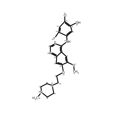 COc1cc2c(Nc3cc(O)c(Cl)cc3F)ncnc2cc1OCCN1CCN(C)CC1